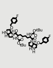 CC(C)(C)OC(=O)NC(CCCCC(NC(=O)OC(C)(C)C)C(=O)N1CC[C@H]2NC[C@H](OCc3ccc(F)cc3)[C@H]21)C(=O)N1CC[C@H]2NC[C@H](OCc3ccc(F)cc3)[C@H]21